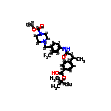 CC(CC(=O)Nc1ccc(CN2CCN(C(=O)OC(C)(C)C)CC2)c(C(F)(F)F)c1)c1ccc(B(O)OC(C)(C)C(C)(C)C)cc1